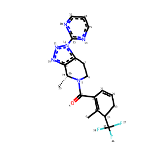 CC1=C(C(=O)N2CCc3c(nnn3-c3ncccn3)[C@H]2C)C=CCC1C(F)(F)F